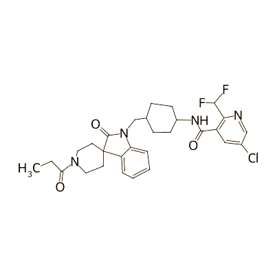 CCC(=O)N1CCC2(CC1)C(=O)N(CC1CCC(NC(=O)c3cc(Cl)cnc3C(F)F)CC1)c1ccccc12